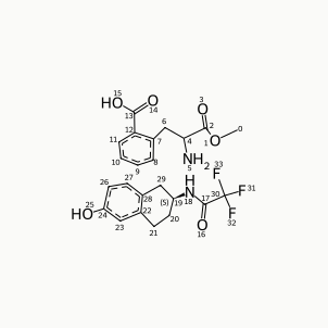 COC(=O)C(N)Cc1ccccc1C(=O)O.O=C(N[C@H]1CCc2cc(O)ccc2C1)C(F)(F)F